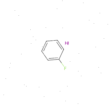 Fc1ccccc1.I